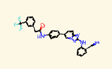 N#Cc1ccccc1Nc1nc2ccc(-c3ccc(NC(=O)Cc4cccc(C(F)(F)F)c4)cc3)cn2n1